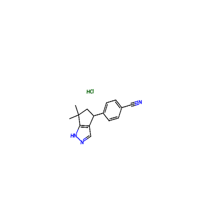 CC1(C)CC(c2ccc(C#N)cc2)c2cn[nH]c21.Cl